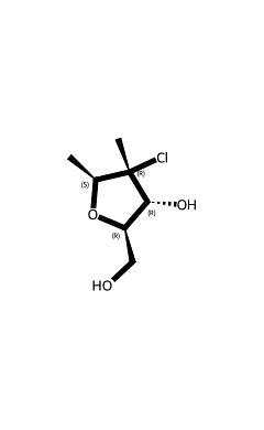 C[C@@H]1O[C@H](CO)[C@@H](O)[C@@]1(C)Cl